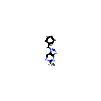 CCCCc1n[c]c2c(ncn2Cc2ccccc2)n1